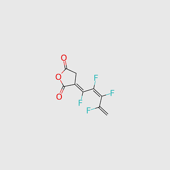 C=C(F)/C(F)=C(F)\C(F)=C1/CC(=O)OC1=O